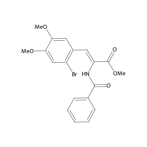 COC(=O)C(=Cc1cc(OC)c(OC)cc1Br)NC(=O)c1ccccc1